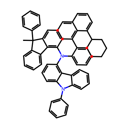 CC1(c2ccccc2)c2ccccc2-c2c(N(c3ccccc3C3=c4c(C5CCCCC5)cccc4=CCC3)c3cccc4c3c3ccccc3n4-c3ccccc3)cccc21